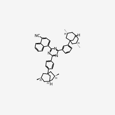 C[C@@H]1C[C@@H]2C[C@H](C)CC(c3ccc(-c4nc(-c5cccc(C67C[C@H](C)C[C@H](C[C@H](C)C6)C7)c5)nc(-c5ccc(C#N)c6ccccc56)n4)cc3)(C1)C2